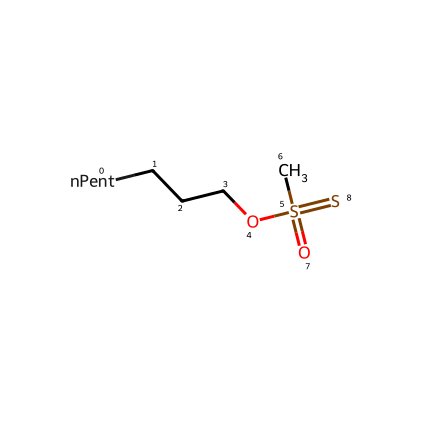 CCCCCCCCOS(C)(=O)=S